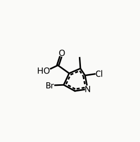 Cc1c(Cl)ncc(Br)c1C(=O)O